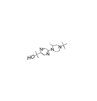 CC1CN(C(C)(C)C)CCN1c1cnc(C(C)(C)O)cn1